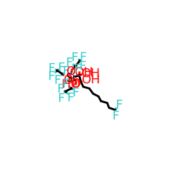 OC(O)(CCCCCCCC(F)F)C(O)(O)[Si](OC(F)(F)C(F)(F)F)(OC(F)(F)C(F)(F)F)OC(F)(F)C(F)(F)F